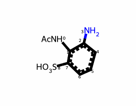 CC(=O)Nc1c(N)cccc1S(=O)(=O)O